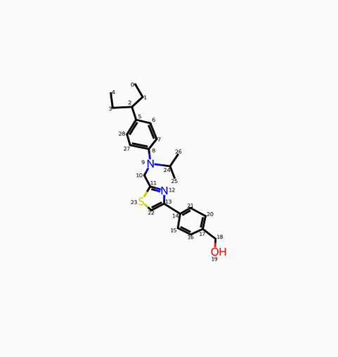 CCC(CC)c1ccc(N(Cc2nc(-c3ccc(CO)cc3)cs2)C(C)C)cc1